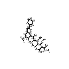 C=C=C1C(C(N)=O)=C(O)CC2CC3Cc4c(N(C)C)cc5nc(-c6ccncc6)oc5c4C(=O)C3=C(O)C12